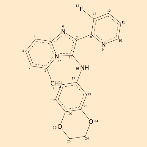 Cc1cccc2nc(-c3ncccc3F)c(Nc3ccc4c(c3)OCCO4)n12